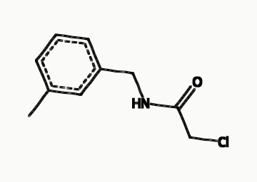 Cc1cccc(CNC(=O)CCl)c1